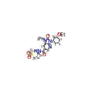 CCOc1cccc(-n2c(=O)n(C(C)C)c3cc(C(=O)NC4(C)CCS(=O)(=O)CC4)cnc32)c1